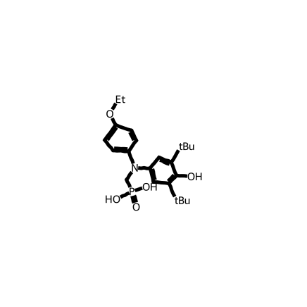 CCOc1ccc(N(CP(=O)(O)O)c2cc(C(C)(C)C)c(O)c(C(C)(C)C)c2)cc1